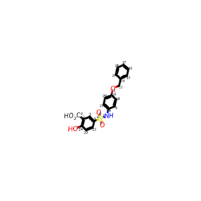 O=C(O)c1cc(S(=O)(=O)Nc2ccc(OCc3ccccc3)cc2)ccc1O